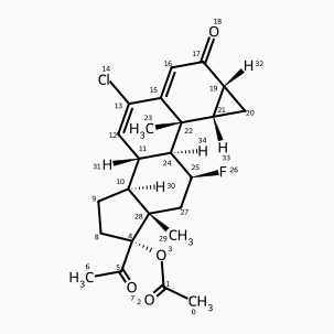 CC(=O)O[C@]1(C(C)=O)CC[C@H]2[C@@H]3C=C(Cl)C4=CC(=O)[C@@H]5C[C@@H]5[C@]4(C)[C@H]3[C@@H](F)C[C@@]21C